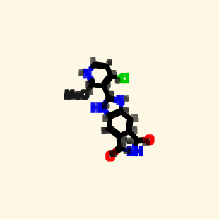 COc1nccc(Cl)c1-c1nc2cc3c(cc2[nH]1)C(=O)NC3=O